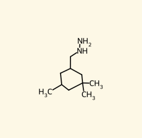 CC1CC(CNN)CC(C)(C)C1